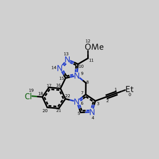 CCC#Cc1ncn2c1Cn1c(COC)nnc1-c1cc(Cl)ccc1-2